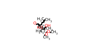 CC(C)=CCCC(C)=CC=O.CC(O)CC(C)(C)O.CCOC(C)OCC